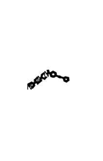 C=C(c1ccc(C#Cc2ccccc2)cc1)N1CCC(N2CCN(c3ccncc3)CC2)CC1